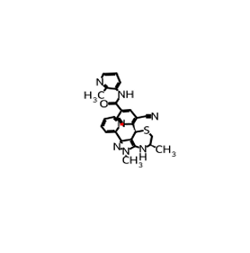 Cc1ncccc1NC(=O)c1ccc([C@H]2SC[C@@H](C)Nc3c2c(-c2ccccn2)nn3C)c(C#N)c1